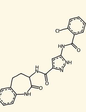 O=C(NC1CCc2ccccc2NC1=O)c1cc(NC(=O)c2ccccc2Cl)[nH]n1